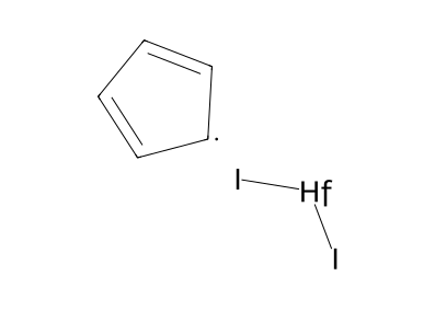 [CH]1C=CC=C1.[I][Hf][I]